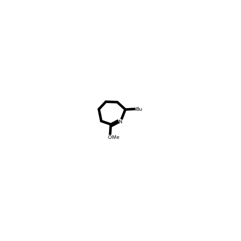 CCC(C)C1CCCCC(OC)=N1